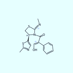 C/N=C1\SC[C@H](c2cnc(C)s2)N1C(=O)/C(=C/O)c1ccccc1